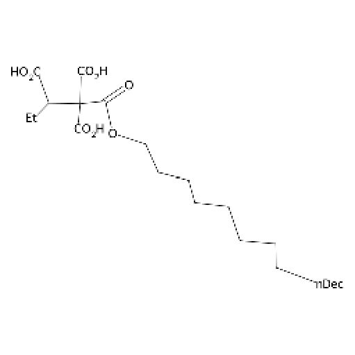 CCCCCCCCCCCCCCCCCCOC(=O)C(C(=O)O)(C(=O)O)C(CC)C(=O)O